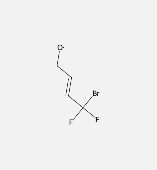 [O]CC=CC(F)(F)Br